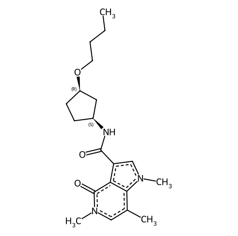 CCCCO[C@@H]1CC[C@H](NC(=O)c2cn(C)c3c(C)cn(C)c(=O)c23)C1